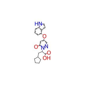 O=C(O)C(CC1CCCC1)n1ncc(Oc2cccc3[nH]ccc23)cc1=O